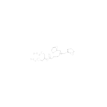 CCC(CC)O[SiH2]CCCN(CC1CCCO1)CC1CCCO1